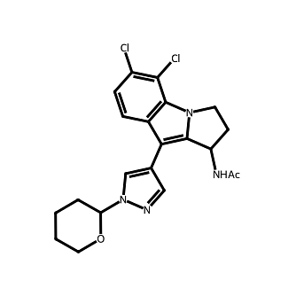 CC(=O)NC1CCn2c1c(-c1cnn(C3CCCCO3)c1)c1ccc(Cl)c(Cl)c12